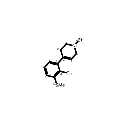 CCN1CC=C(c2cccc(SC)c2F)CC1